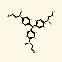 CCN(CCC#N)c1ccc(C(c2ccc(N(CC)CCC#N)cc2)c2ccc(N(CC)CCC#N)cc2)cc1